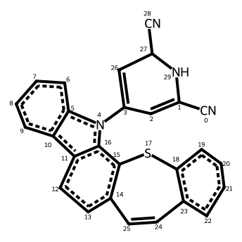 N#CC1=CC(n2c3ccccc3c3ccc4c(c32)Sc2ccccc2C=C4)=CC(C#N)N1